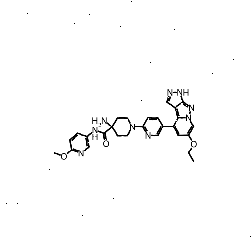 CCOc1cc(-c2ccc(N3CCC(N)(C(=O)Nc4ccc(OC)nc4)CC3)nc2)c2c3cn[nH]c3nn2c1